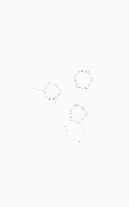 Cc1ccc(N(c2ccc3c(c2)CCCC3)c2ccc(C)cc2C)cc1